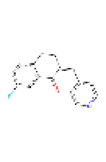 O=C1C(=Cc2ccncc2)CCc2ccc(F)cc21